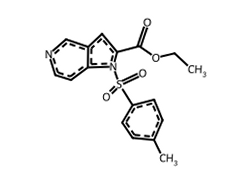 CCOC(=O)c1cc2cnccc2n1S(=O)(=O)c1ccc(C)cc1